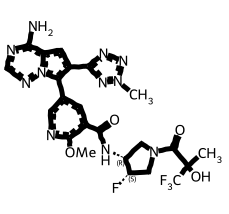 COc1ncc(-c2c(-c3nnn(C)n3)cc3c(N)ncnn23)cc1C(=O)N[C@@H]1CN(C(=O)C(C)(O)C(F)(F)F)C[C@@H]1F